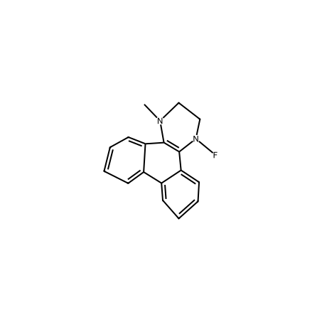 CN1CCN(F)c2c1c1ccccc1c1ccccc21